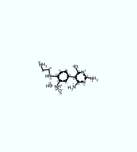 CCc1nc(N)nc(N)c1-c1ccc(NCCN)c([NH+]([O-])O)c1